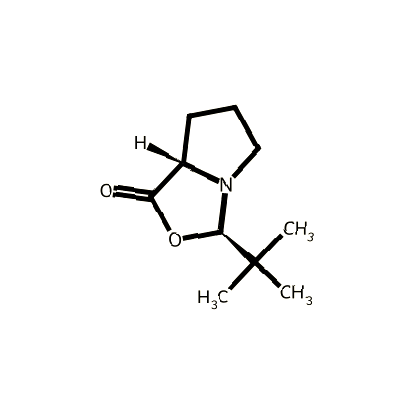 CC(C)(C)[C@H]1OC(=O)[C@@H]2CCCN21